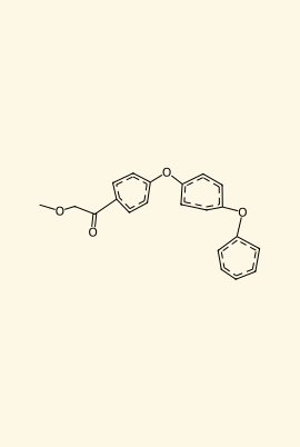 COCC(=O)c1ccc(Oc2ccc(Oc3ccccc3)cc2)cc1